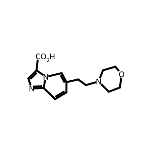 O=C(O)c1cnc2ccc(CCN3CCOCC3)cn12